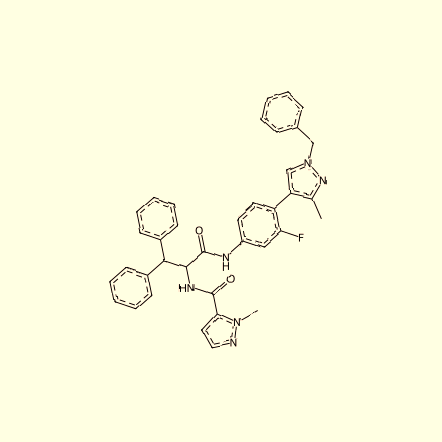 Cc1nn(Cc2ccccc2)cc1-c1ccc(NC(=O)C(NC(=O)c2ccnn2C)C(c2ccccc2)c2ccccc2)cc1F